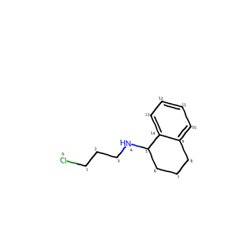 ClCCCNC1CCCc2ccccc21